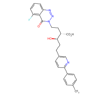 O=C(O)[C@@H](CCn1nnc2cccc(F)c2c1=O)[C@H](O)CCc1ccc(-c2ccc(C(F)(F)F)cc2)nc1